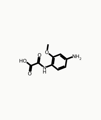 COc1cc(N)ccc1NC(=O)C(=O)O